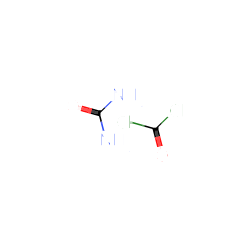 NC(N)=O.O=C(Cl)Cl